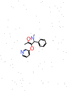 CC1=C(Oc2cccnc2)C(c2ccccc2)N(C)O1